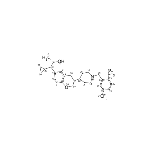 C[C@H](O)C(c1ccc2c(c1)CC(C1CCN(Cc3cc(C(F)(F)F)ccc3C(F)(F)F)CC1)CO2)C1CC1